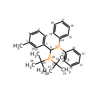 Cc1cccc(C(P(c2ccccc2)c2ccccc2)P(C(C)(C)C)C(C)(C)C)c1